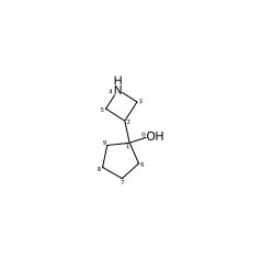 OC1(C2CNC2)CCCC1